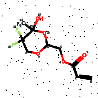 C=CC(=O)OCC1OCC(F)(F)C(O)(C(F)(F)F)O1